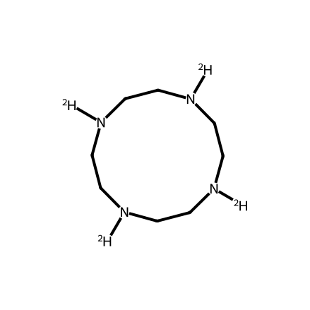 [2H]N1CCN([2H])CCN([2H])CCN([2H])CC1